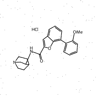 COc1ccccc1-c1cccc2cc(C(=O)NC3CN4CCC3CC4)oc12.Cl